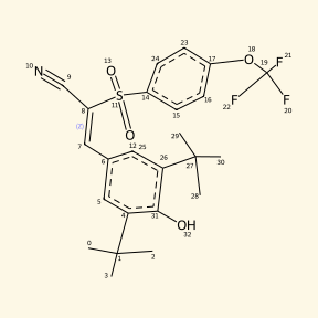 CC(C)(C)c1cc(/C=C(/C#N)S(=O)(=O)c2ccc(OC(F)(F)F)cc2)cc(C(C)(C)C)c1O